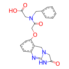 O=C(O)CN(Cc1ccccc1)C(=O)COc1cccc2c1CN1CC(=O)NC1=N2